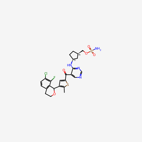 Cc1sc(C(=O)c2cncnc2N[C@H]2CC[C@@H](COS(N)(=O)=O)C2)cc1C1OCCc2ccc(Cl)c(F)c21